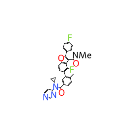 CNC(=O)c1c(-c2ccc(F)cc2)oc2ccc(-c3cc(C(=O)N(c4ccncn4)C4CC4)ccc3C)c(F)c12